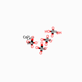 [Ce+3].[Ce+3].[O]=[Mo](=[O])([O-])[O-].[O]=[Mo](=[O])([O-])[O-].[O]=[Mo](=[O])([O-])[O-].[O]=[Mo](=[O])([OH])[OH]